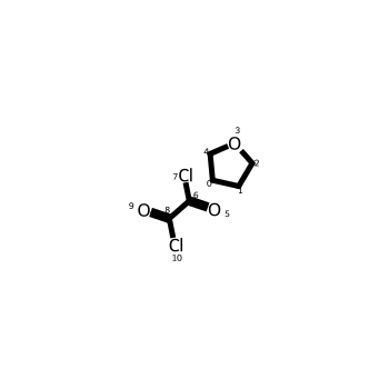 C1CCOC1.O=C(Cl)C(=O)Cl